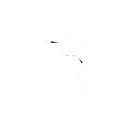 C=CCO[C@@H]1CC[C@H](N)C1